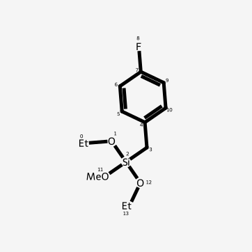 CCO[Si](Cc1ccc(F)cc1)(OC)OCC